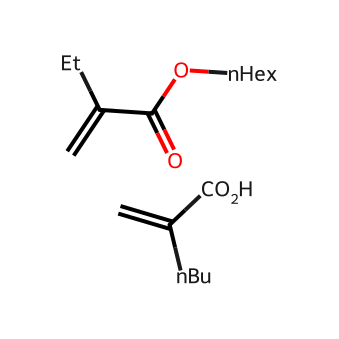 C=C(CC)C(=O)OCCCCCC.C=C(CCCC)C(=O)O